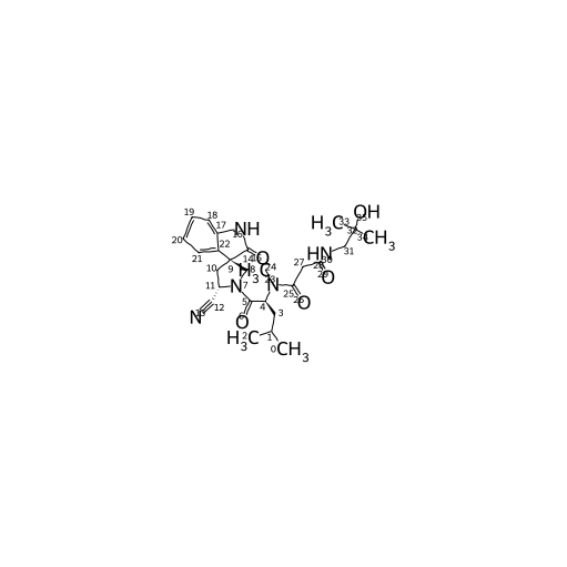 CC(C)C[C@@H](C(=O)N1C[C@]2(C[C@H]1C#N)C(=O)Nc1ccccc12)N(C)C(=O)CC(=O)NCC(C)(C)O